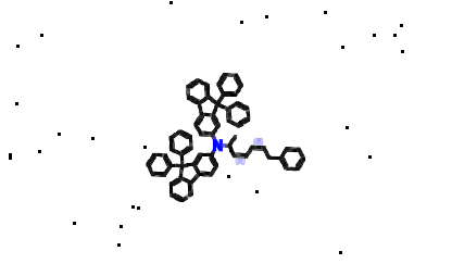 CC(/C=C\C=C/Cc1ccccc1)N(c1ccc2c(c1)C(c1ccccc1)(c1ccccc1)c1ccccc1-2)c1ccc2c(c1)C(c1ccccc1)(c1ccccc1)c1ccccc1-2